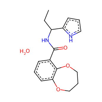 CCC(NC(=O)c1cccc2c1OCCCO2)c1ccc[nH]1.O